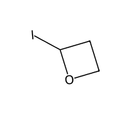 IC1CCO1